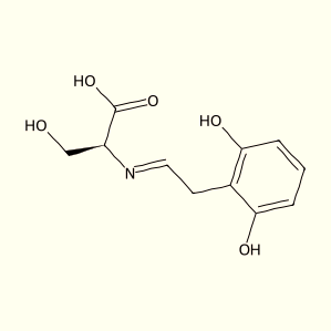 O=C(O)[C@H](CO)N=CCc1c(O)cccc1O